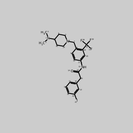 CN(C)C1CCN(Cc2ccc(NC(=O)Cc3cccc(I)c3)cc2C(F)(F)F)CC1